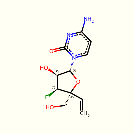 C=C[C@]1(CO)O[C@@H](n2ccc(N)nc2=O)[C@H](O)[C@@H]1F